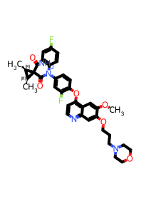 COc1cc2c(Oc3ccc(N(C(=O)C4(C(N)=O)[C@H](C)[C@H]4C)c4ccc(F)cc4)cc3F)ccnc2cc1OCCCN1CCOCC1